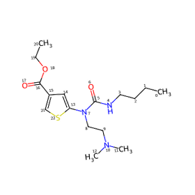 CCCCNC(=O)N(CCN(C)C)c1cc(C(=O)OCC)cs1